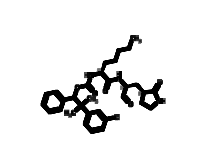 CCCCC[C@H](NC(=O)OC(c1ccccc1)C(C)(C)c1cccc(Cl)c1)C(=O)N[C@H](C=O)C[C@@H]1CCNC1=O